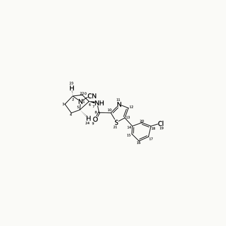 N#CN1[C@H]2CC[C@@H]1[C@H](NC(=O)c1ncc(-c3cccc(Cl)c3)s1)C2